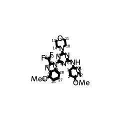 COc1ccc(Nc2nc(N3CCOCC3)nc(-n3c(C(F)F)nc4c(OC)cccc43)n2)nn1